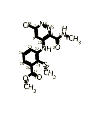 CNC(=O)c1nnc(Cl)cc1Nc1cccc(C(=O)OC)c1SC